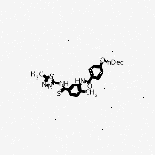 CCCCCCCCCCOc1ccc(C(=O)Nc2cc(C(=S)Nc3nnc(C)s3)ccc2C)cc1